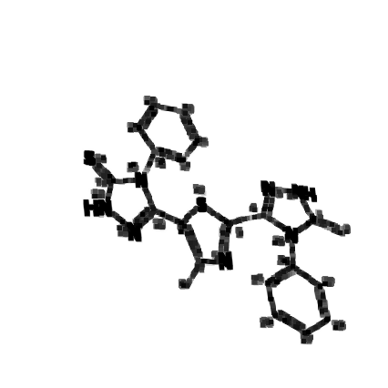 C=C1NN=C(c2nc(C)c(-c3n[nH]c(=S)n3-c3ccccc3)s2)N1c1ccccc1